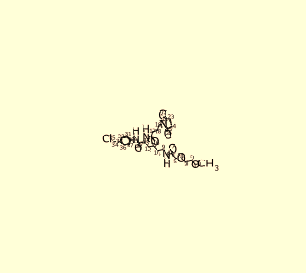 COCCOCC(=O)NCCCC[C@H](NC(=O)CCCN1C(=O)C=CC1=O)C(=O)Nc1ccc(CCl)cc1